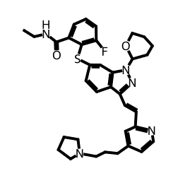 CCNC(=O)c1cccc(F)c1Sc1ccc2c(/C=C/c3cc(CCCN4CCCC4)ccn3)nn(C3CCCCO3)c2c1